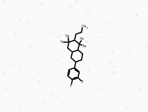 [2H]C1([2H])CC2CC(c3ccc(F)c(F)c3)CCC2C([2H])([2H])C1CCC